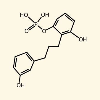 O=P(O)(O)Oc1cccc(O)c1CCCc1cccc(O)c1